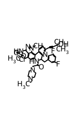 CCN1CCN(CC(=O)NC(Cc2cc(F)cc(F)c2)c2nc(C#CC(C)(C)O)ccc2-c2ccc(Cl)c3c(NS(C)(=O)=O)nn(C)c23)CC1